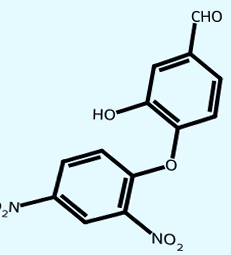 O=Cc1ccc(Oc2ccc([N+](=O)[O-])cc2[N+](=O)[O-])c(O)c1